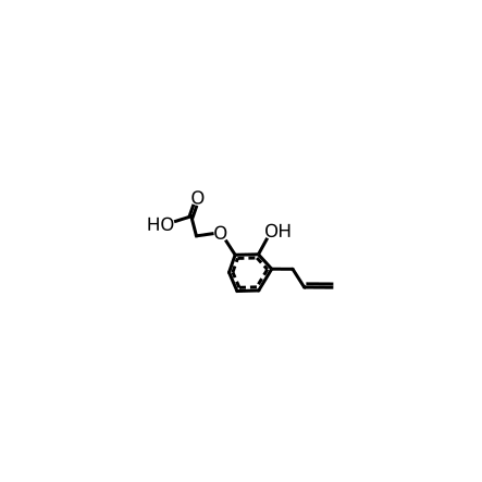 C=CCc1cccc(OCC(=O)O)c1O